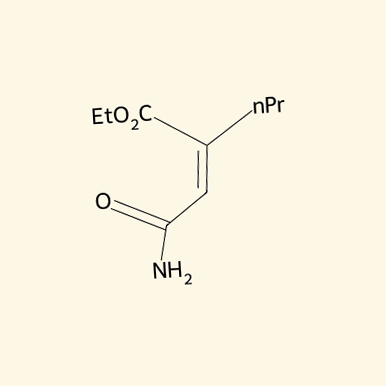 CCCC(=CC(N)=O)C(=O)OCC